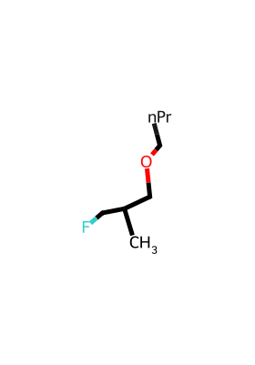 CCCCOCC(C)CF